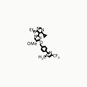 CCOc1ncnc(C2CC2)c1-c1ncc(OC)c(OCc2ccc(-c3nc(C(F)(F)F)cn3C)cc2)n1